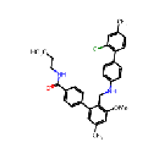 COc1cc(C(F)(F)F)cc(-c2ccc(C(=O)NCCC(=O)O)cc2)c1CNc1ccc(-c2ccc(C(F)(F)F)cc2Cl)cc1